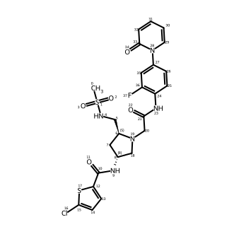 CS(=O)(=O)NC[C@@H]1C[C@@H](NC(=O)c2ccc(Cl)s2)CN1CC(=O)Nc1ccc(-n2ccccc2=O)cc1F